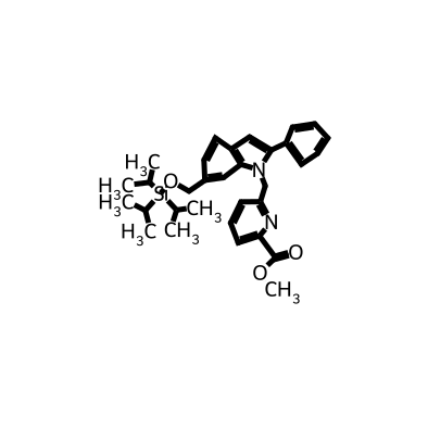 COC(=O)c1cccc(Cn2c(-c3ccccc3)cc3ccc(CO[Si](C(C)C)(C(C)C)C(C)C)cc32)n1